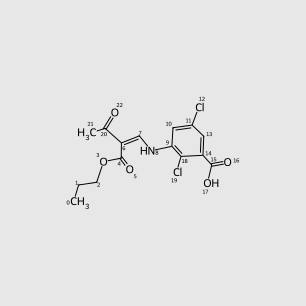 CCCOC(=O)C(=CNc1cc(Cl)cc(C(=O)O)c1Cl)C(C)=O